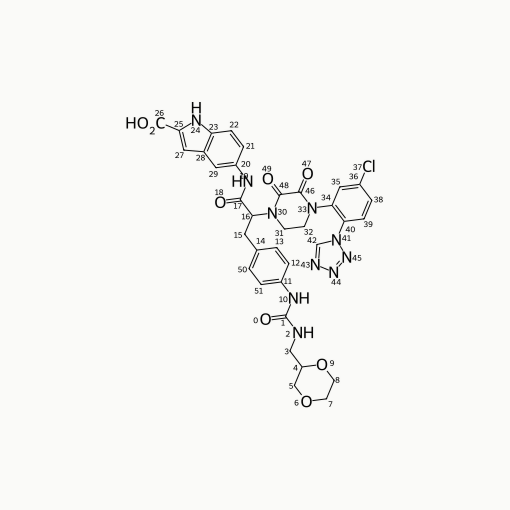 O=C(NCC1COCCO1)Nc1ccc(CC(C(=O)Nc2ccc3[nH]c(C(=O)O)cc3c2)N2CCN(c3cc(Cl)ccc3-n3cnnn3)C(=O)C2=O)cc1